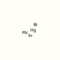 [Bi].[Hg].[In].[Pb]